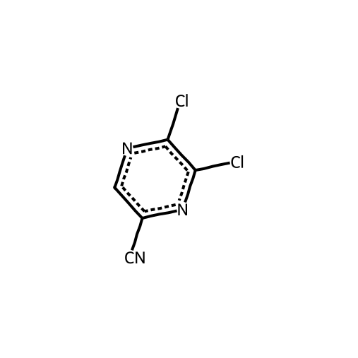 N#Cc1cnc(Cl)c(Cl)n1